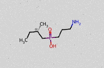 CC[C@H](C)CP(=O)(O)CCCN